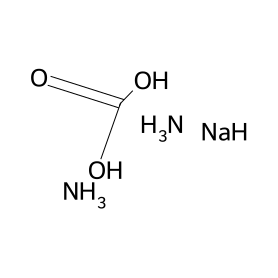 N.N.O=C(O)O.[NaH]